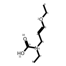 CCOC=CCN(CC)C(=O)O